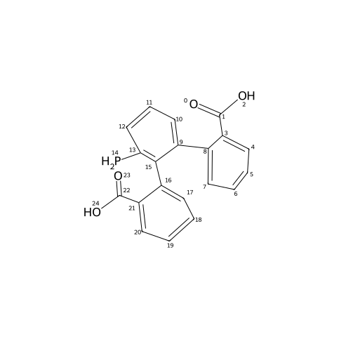 O=C(O)c1ccccc1-c1cccc(P)c1-c1ccccc1C(=O)O